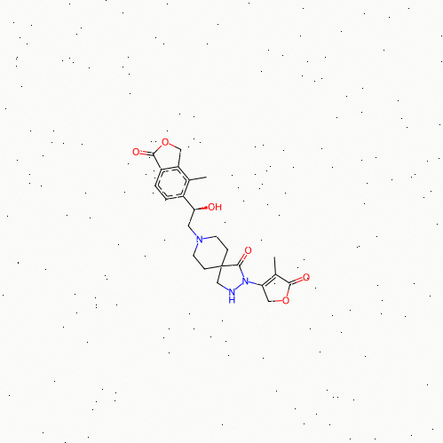 CC1=C(N2NCC3(CCN(C[C@H](O)c4ccc5c(c4C)COC5=O)CC3)C2=O)COC1=O